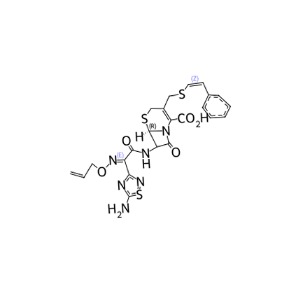 C=CCO/N=C(/C(=O)NC1C(=O)N2C(C(=O)O)=C(CS/C=C\c3ccccc3)CS[C@H]12)c1nsc(N)n1